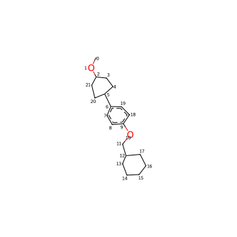 COC1CCC(c2ccc(OCC3CCCCC3)cc2)CC1